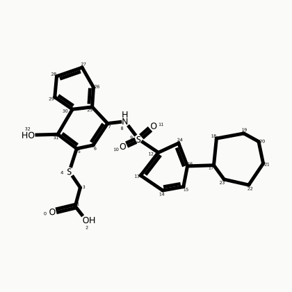 O=C(O)CSc1cc(NS(=O)(=O)c2cccc(C3CCCCCC3)c2)c2ccccc2c1O